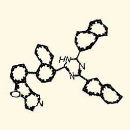 c1ccc2cc(C3=NC(c4ccc5ccccc5c4)NC(c4ccc(-c5cccc6oc7ccncc7c56)c5ccccc45)=N3)ccc2c1